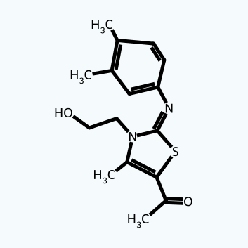 CC(=O)c1sc(=Nc2ccc(C)c(C)c2)n(CCO)c1C